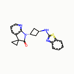 O=C1N([C@H]2C[C@H](Nc3nc4ccccc4s3)C2)c2ncccc2C12CC2